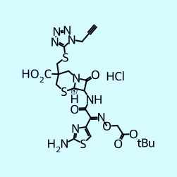 C#CCn1nnnc1SCC1(C(=O)O)CS[C@@H]2C(NC(=O)C(=NOCC(=O)OC(C)(C)C)c3csc(N)n3)C(=O)N2C1.Cl